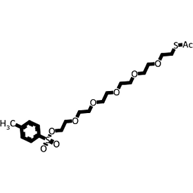 CC(=O)SCCOCCOCCOCCOCCOCCOS(=O)(=O)c1ccc(C)cc1